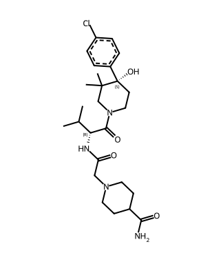 CC(C)[C@@H](NC(=O)CN1CCC(C(N)=O)CC1)C(=O)N1CC[C@](O)(c2ccc(Cl)cc2)C(C)(C)C1